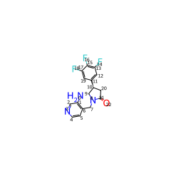 Nc1cnccc1CN1C[C@@H](c2cc(F)c(F)c(F)c2)CC1=O